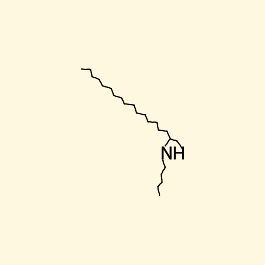 CCCCCCCCCCCCCCCCC(CC)CNCCCCCC